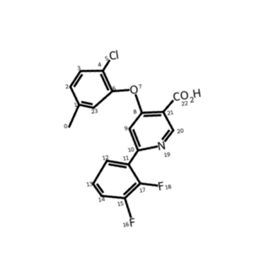 Cc1ccc(Cl)c(Oc2cc(-c3cccc(F)c3F)ncc2C(=O)O)c1